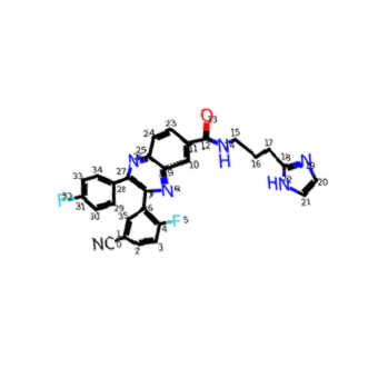 N#Cc1ccc(F)c(-c2nc3cc(C(=O)NCCCc4ncc[nH]4)ccc3nc2-c2ccc(F)cc2)c1